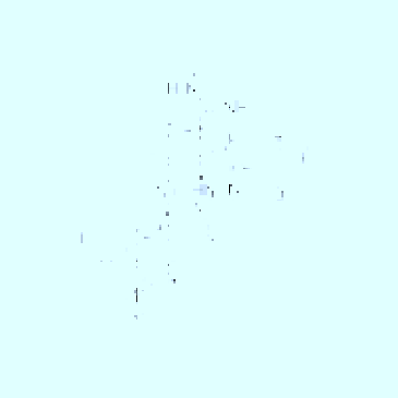 CCOc1cc(C(Nc2ccc(C(=N)N)cc2)C(=O)NNC(=O)c2ccco2)ccc1OC(C)C